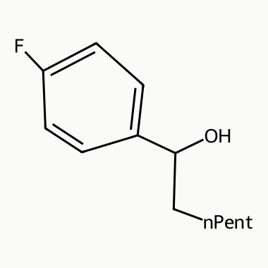 CCCCCCC(O)c1ccc(F)cc1